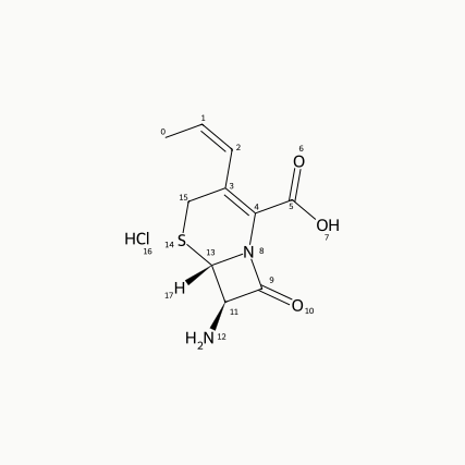 C/C=C\C1=C(C(=O)O)N2C(=O)[C@@H](N)[C@@H]2SC1.Cl